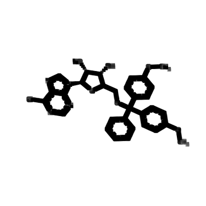 COc1ccc(C(OCC2O[C@@H](n3cnc4c(Cl)ncnc43)[C@H](O)[C@@H]2O)(c2ccccc2)c2ccc(OC)cc2)cc1